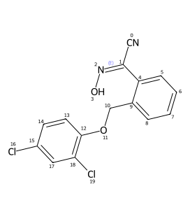 N#C/C(=N/O)c1ccccc1COc1ccc(Cl)cc1Cl